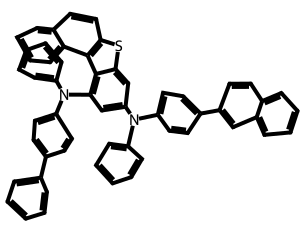 c1ccc(-c2ccc(N(c3ccccc3)c3cc(N(c4ccccc4)c4ccc(-c5ccc6ccccc6c5)cc4)cc4sc5ccc6ccccc6c5c34)cc2)cc1